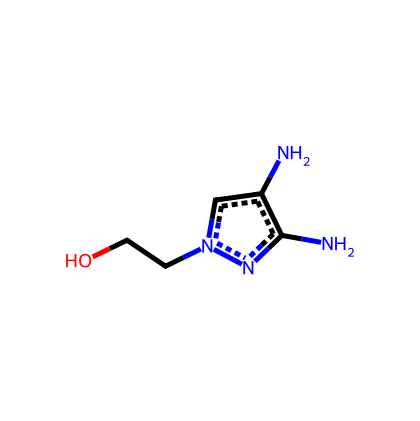 Nc1cn(CCO)nc1N